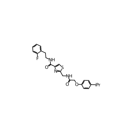 CC(C)c1ccc(OCC(=O)NCc2nc(C(=O)NCCc3ccccc3F)cs2)cc1